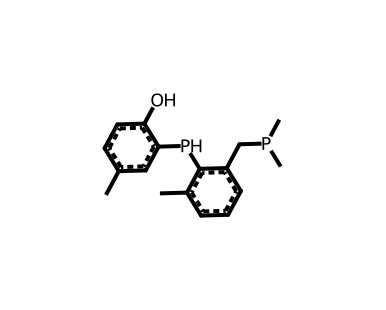 Cc1ccc(O)c(Pc2c(C)cccc2CP(C)C)c1